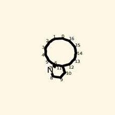 C1CCCCCC2=NCCCC2CCCCC1